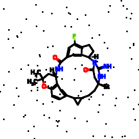 CC[C@]12CCC3CC3c3ccc4c(c3)[C@H](CC(C)(C)O4)NC(=O)c3cc(F)c4c(c3)[C@@H](CC4)N(C(=N)N1)C(=O)C2